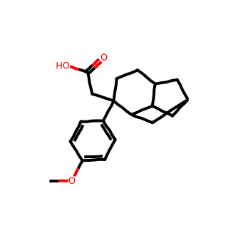 COc1ccc(C2(CC(=O)O)CCC3CC4CC3C2C4)cc1